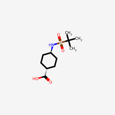 CC(C)(C)S(=O)(=O)N[C@H]1CC[C@H](C(=O)O)CC1